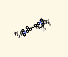 CC1(C)c2cc(/C=C/c3ccc4c(c3)C3(CCCCC3)c3cc(N5c6ccccc6C(C)(C)c6ccccc65)ccc3-4)ccc2-c2ccc(N3c4ccccc4C(C)(C)c4ccccc43)cc21